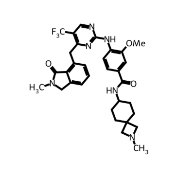 COc1cc(C(=O)NC2CCC3(CC2)CN(C)C3)ccc1Nc1ncc(C(F)(F)F)c(Cc2cccc3c2C(=O)N(C)C3)n1